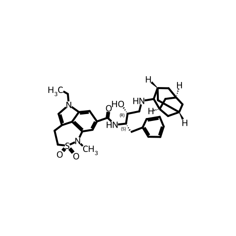 CCn1cc2c3c(cc(C(=O)N[C@@H](Cc4ccccc4)[C@H](O)CNC4[C@H]5C[C@@H]6C[C@@H](C[C@H]4C6)C5)cc31)N(C)S(=O)(=O)CC2